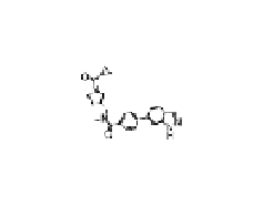 CN(C[C@@H]1CCN(C(=O)C2CC2)C1)C(=O)c1ccc(-c2ccc3cn[nH]c3c2)cc1